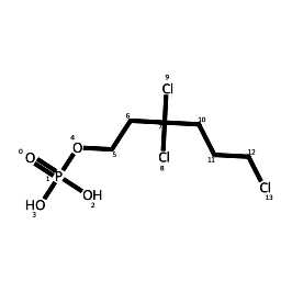 O=P(O)(O)OCCC(Cl)(Cl)CCCCl